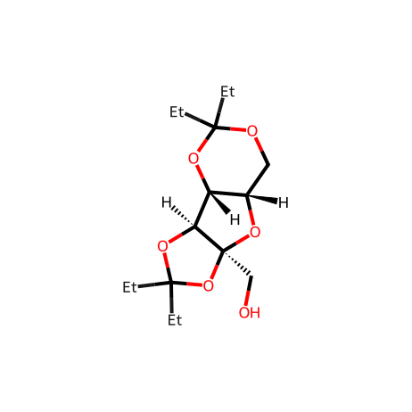 CCC1(CC)OC[C@@H]2O[C@@]3(CO)OC(CC)(CC)O[C@H]3[C@@H]2O1